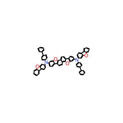 c1ccc(-c2ccc(N(c3ccc4c(c3)oc3ccccc34)c3ccc4c(c3)oc3c4ccc4c3ccc3c5ccc(N(c6ccc(-c7ccccc7)cc6)c6ccc7c(c6)oc6ccccc67)cc5oc34)cc2)cc1